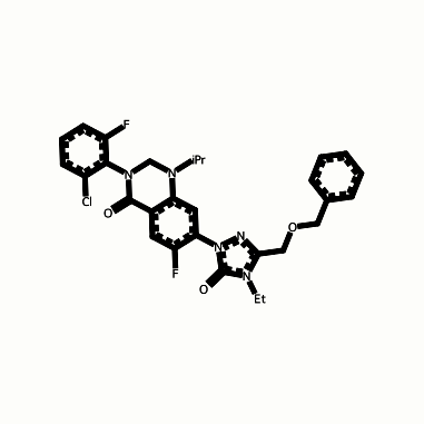 CCn1c(COCc2ccccc2)nn(-c2cc3c(cc2F)C(=O)N(c2c(F)cccc2Cl)CN3C(C)C)c1=O